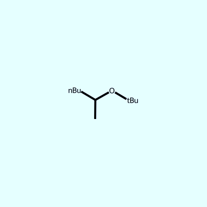 [CH2]CCCC(C)OC(C)(C)C